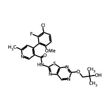 COc1ccc(Cl)c(F)c1-c1cc(C)ncc1C(=O)Nc1nc2cnc(OCC(C)(C)O)nc2s1